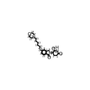 O=C1CCC(N2Cc3cc(SCCCCCN4CCOCC4)ccc3C2=O)C(=O)N1